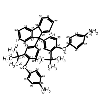 CC(C)(C)c1cc(C2(c3ccc(Oc4ccc(N)cc4)c(C(C)(C)C)c3)c3ccccc3-c3ccccc32)ccc1Oc1ccc(N)cc1